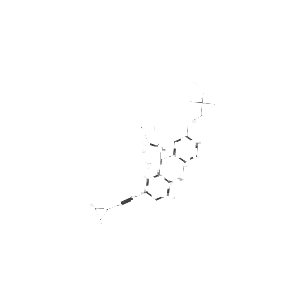 COC(C)(C)COc1ccc2c(c1)[C@]1(COC(N)=N1)c1cc(C#CC3CC3)ccc1O2